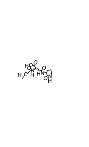 CCC(=O)N[C@@H](CCC(=O)NC1CCCNC1=O)C(=O)O